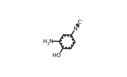 [C-]#[N+]c1ccc(O)c(N)c1